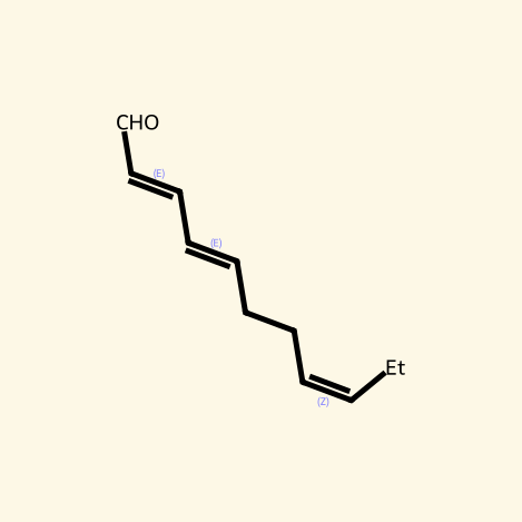 CC/C=C\CC/C=C/C=C/C=O